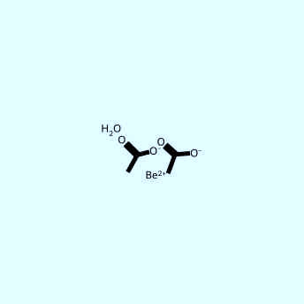 CC(=O)[O-].CC(=O)[O-].O.[Be+2]